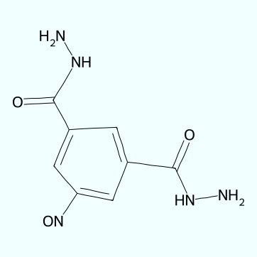 NNC(=O)c1cc(N=O)cc(C(=O)NN)c1